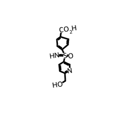 N=S(=O)(c1ccc(C(=O)O)cc1)c1ccc(CO)nc1